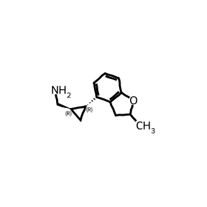 CC1Cc2c(cccc2[C@@H]2C[C@H]2CN)O1